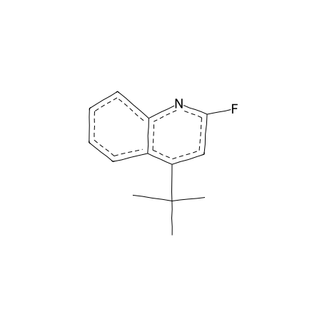 CC(C)(C)c1cc(F)nc2ccccc12